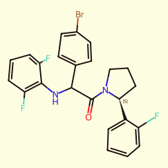 O=C(C(Nc1c(F)cccc1F)c1ccc(Br)cc1)N1CCC[C@H]1c1ccccc1F